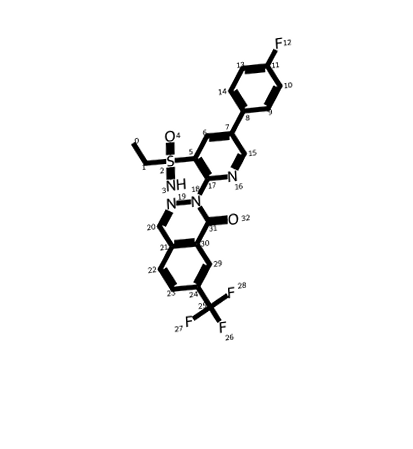 CCS(=N)(=O)c1cc(-c2ccc(F)cc2)cnc1-n1ncc2ccc(C(F)(F)F)cc2c1=O